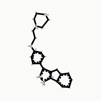 c1ccc2c(c1)Cc1c(-c3ccc(OCCN4CCOCC4)cc3)n[nH]c1-2